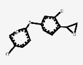 Clc1ccc(Oc2ccc(C3CO3)c(Cl)c2)cc1